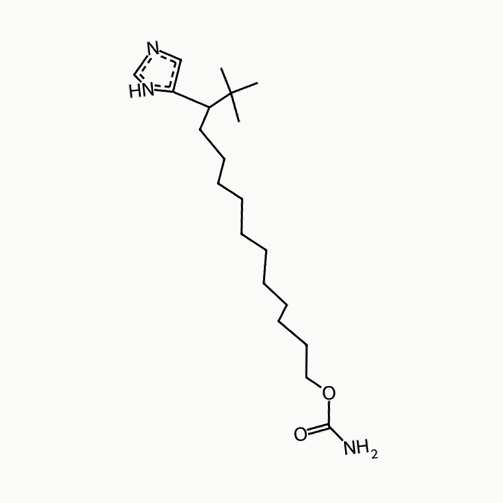 CC(C)(C)C(CCCCCCCCCCCOC(N)=O)c1cnc[nH]1